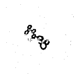 Cc1cccccc2ccncc2n1-c1cccc(-c2cc(-c3cccc(-n4c5ccccc5c5ccncc54)n3)cc(C(F)(F)F)c2)n1